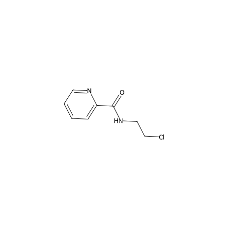 O=C(NCCCl)c1ccccn1